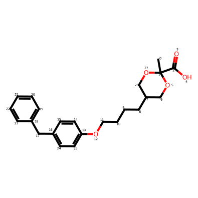 CC1(C(=O)O)OCC(CCCCOc2ccc(Cc3ccccc3)cc2)CO1